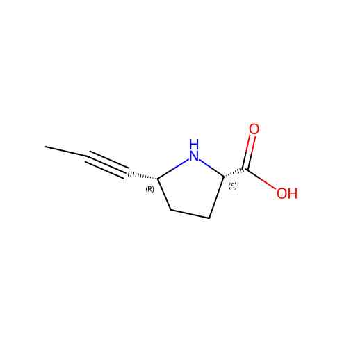 CC#C[C@H]1CC[C@@H](C(=O)O)N1